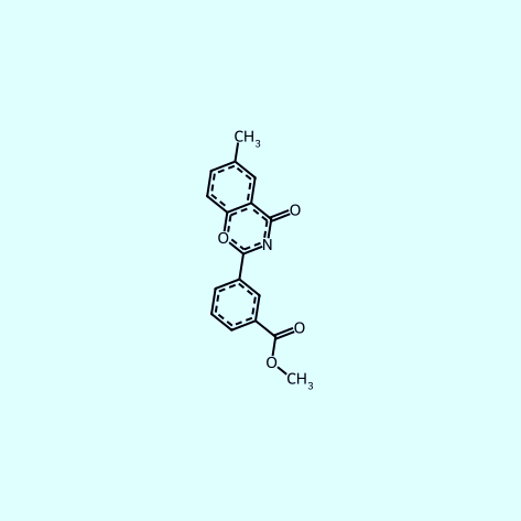 COC(=O)c1cccc(-c2nc(=O)c3cc(C)ccc3o2)c1